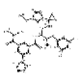 CCCN(CCC)C(=O)c1cc(C(=O)OC(CNC2(c3cc(CC(C)C)no3)CC2)C(N)Cc2cc(F)cc(F)c2)cc(-c2ncco2)c1